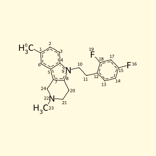 Cc1ccc2c(c1)c1c(n2CCc2ccc(F)cc2F)CCN(C)C1